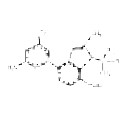 COc1ccc(-c2cc(C)cc(C)c2)c2c1C([Si](C)(C)Cl)C(C)=C2